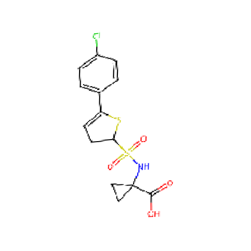 O=C(O)C1(NS(=O)(=O)C2CC=C(c3ccc(Cl)cc3)S2)CC1